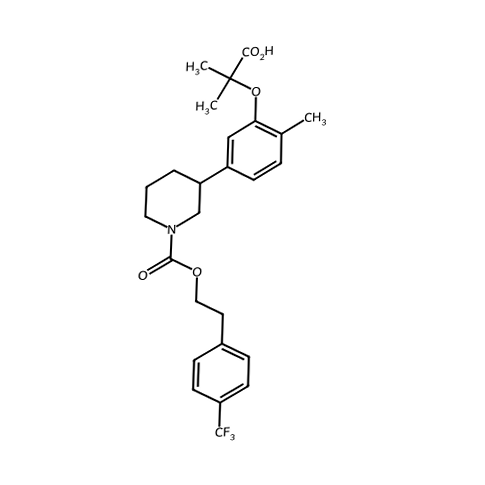 Cc1ccc(C2CCCN(C(=O)OCCc3ccc(C(F)(F)F)cc3)C2)cc1OC(C)(C)C(=O)O